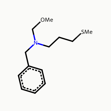 COCN(CCCSC)Cc1ccccc1